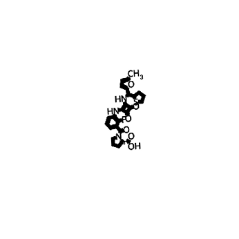 Cc1ccc(C(Nc2c(Nc3cccc(C(=O)N4CCC[C@H]4C(=O)O)c3F)c(=O)c2=O)C2CCCS2)o1